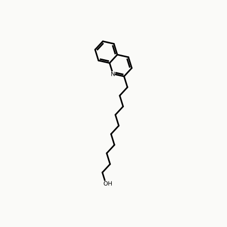 OCCCCCCCCCCc1ccc2ccccc2n1